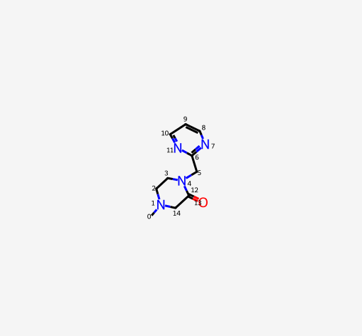 CN1CCN(Cc2ncccn2)C(=O)C1